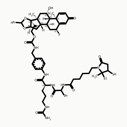 CCCC1O[C@@H]2C[C@H]3[C@@H]4C[C@H](F)C5=CC(=O)C=C[C@]5(C)[C@@]4(F)[C@@H](O)C[C@]3(C)[C@]2(C(=O)COC(=O)NCc2ccc(NC(=O)[C@H](CCCNC(N)=O)NC(=O)C(NC(=O)CCCCCN3C(=O)CC(S)C3(C)CC)C(C)C)cc2)O1